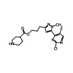 Cn1nc(CCCOC(=O)C2CCNCC2)cc1-c1nc(Cl)ncc1F